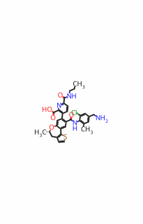 CCCNC(=O)c1ccc(-c2cc3c(cc2C(=O)Nc2c(C)cc(CN)cc2Cl)-c2sccc2C[C@H](C)O3)c(C(=O)O)n1